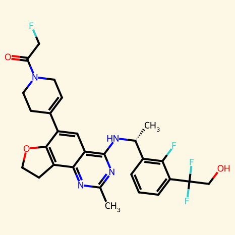 Cc1nc(N[C@H](C)c2cccc(C(F)(F)CO)c2F)c2cc(C3=CCN(C(=O)CF)CC3)c3c(c2n1)CCO3